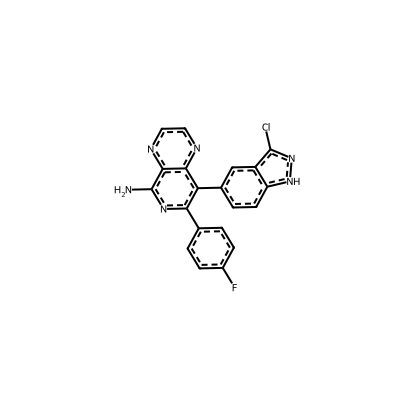 Nc1nc(-c2ccc(F)cc2)c(-c2ccc3[nH]nc(Cl)c3c2)c2nccnc12